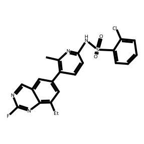 CCc1cc(-c2ccc(NS(=O)(=O)c3ccccc3Cl)nc2C)cc2cnc(F)nc12